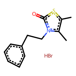 Br.Cc1sc(=O)n(CCc2ccccc2)c1C